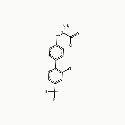 C[C@@H](Oc1ccc(-c2ncc(C(F)(F)F)cc2Cl)cc1)C(=O)Cl